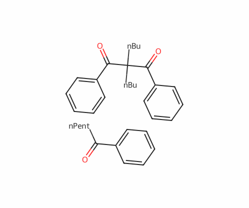 CCCCC(CCCC)(C(=O)c1ccccc1)C(=O)c1ccccc1.CCCCCC(=O)c1ccccc1